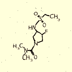 CCS(=O)(=O)NC1CN(C(=O)N(C)C)CC1F